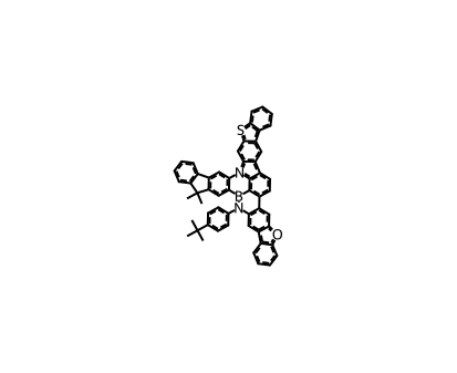 CC(C)(C)c1ccc(N2B3c4cc5c(cc4-n4c6cc7sc8ccccc8c7cc6c6ccc(c3c64)-c3cc4oc6ccccc6c4cc32)-c2ccccc2C5(C)C)cc1